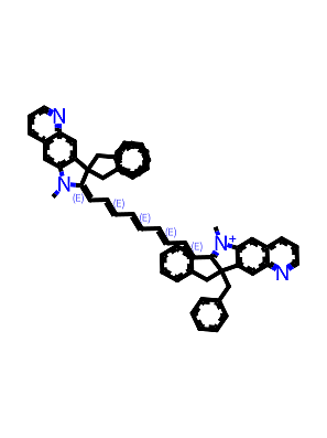 CN1/C(=C/C=C/C=C/C=C/C=C/C2=[N+](C)c3cc4cccnc4cc3C2(Cc2ccccc2)Cc2ccccc2)C(Cc2ccccc2)(Cc2ccccc2)c2cc3ncccc3cc21